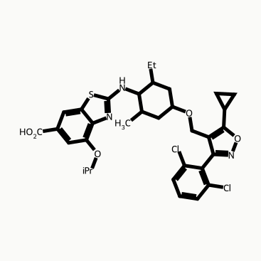 CCC1CC(OCc2c(-c3c(Cl)cccc3Cl)noc2C2CC2)CC(C)C1Nc1nc2c(OC(C)C)cc(C(=O)O)cc2s1